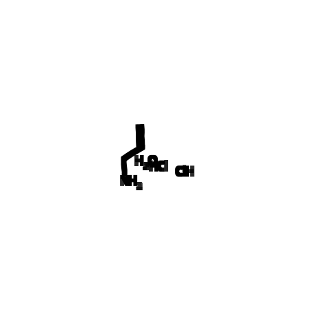 C=CCN.Cl.Cl.O